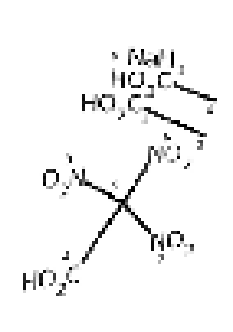 CC(=O)O.CC(=O)O.O=C(O)C([N+](=O)[O-])([N+](=O)[O-])[N+](=O)[O-].[NaH]